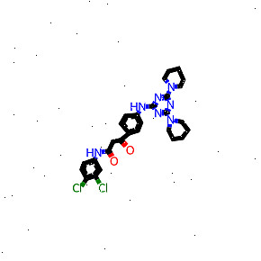 O=C(CC(=O)c1ccc(Nc2nc(N3CCCCC3)nc(N3CCCCC3)n2)cc1)Nc1ccc(Cl)c(Cl)c1